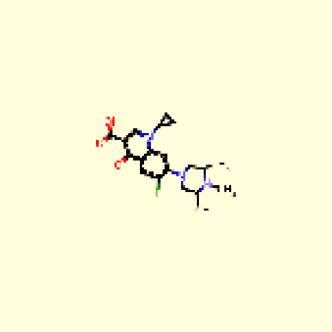 CC1CN(c2cc3c(cc2F)c(=O)c(C(=O)O)cn3C2CC2)CC(C)N1C